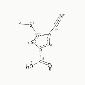 CSc1sc(C(=O)O)cc1C#N